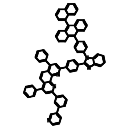 c1ccc(-c2cc(-c3ccc(-c4nc5ccccc5n4-c4ccc(-c5c6ccccc6c(-c6cccc7ccccc67)c6ccccc56)cc4)cc3)nc3c2ccc2c(-c4ccccc4)cc(-c4cccc(-c5cccnc5)c4)nc23)cc1